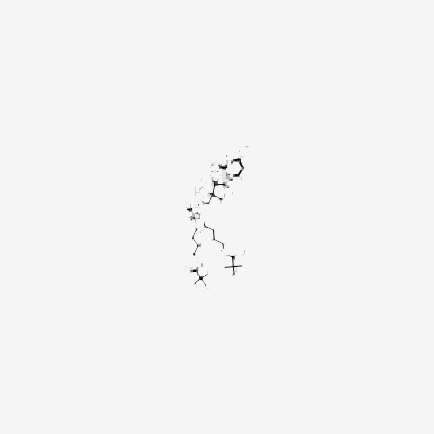 CC(C)(C)C(=O)SCCCCOP(=O)(OCCCCSC(=O)C(C)(C)C)OCC1(O)CO[C@@H](n2ccc(=O)[nH]c2=O)[C@]1(C)O